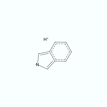 C1=c2ccccc2=C[N]1.[H+]